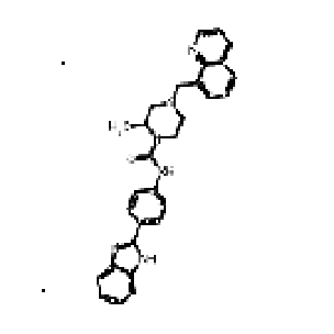 C[C@H]1CN(Cc2cccc3cccnc23)CCN1C(=O)Nc1ccc(-c2nc3ccccc3[nH]2)cc1